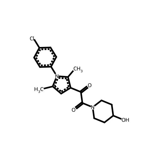 Cc1cc(C(=O)C(=O)N2CCC(O)CC2)c(C)n1-c1ccc(Cl)cc1